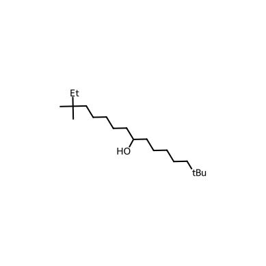 CCC(C)(C)CCCCCC(O)CCCCCC(C)(C)C